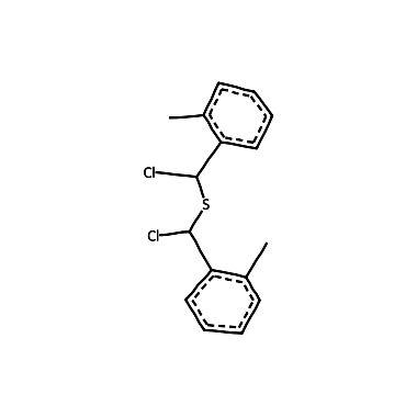 Cc1ccccc1C(Cl)SC(Cl)c1ccccc1C